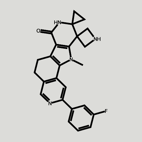 Cn1c2c(c3c1C1(CNC1)C1(CC1)NC3=O)CCc1cnc(-c3cccc(F)c3)cc1-2